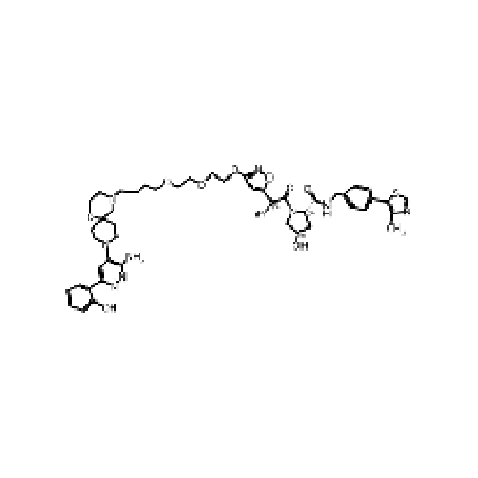 Cc1ncsc1-c1ccc(CNC(=O)[C@@H]2C[C@@H](O)CN2C(=O)[C@H](c2cc(OCCOCCOCCCCN3CCOC4(CCN(c5cc(-c6ccccc6O)nnc5N)CC4)C3)no2)C(C)C)cc1